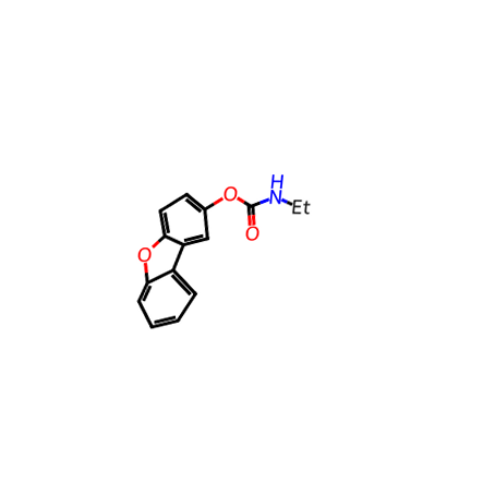 CCNC(=O)Oc1ccc2oc3ccccc3c2c1